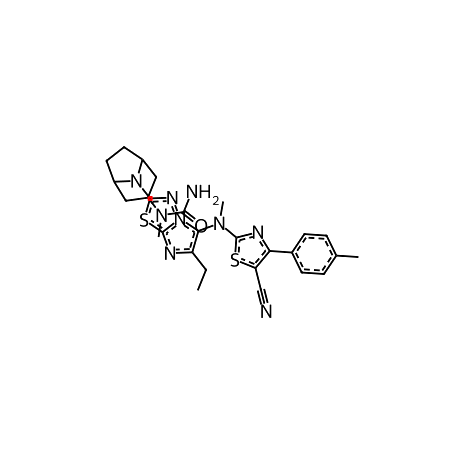 CCc1nc2sc(N3C4CCC3CC(N(C)C(N)=O)C4)nn2c1N(C)c1nc(-c2ccc(C)cc2)c(C#N)s1